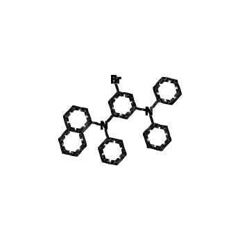 Brc1cc(N(c2ccccc2)c2ccccc2)cc(N(c2ccccc2)c2cccc3ccccc23)c1